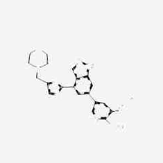 COc1ncc(-c2cc(-c3ncc(CN4C[C@@H](C)O[C@@H](C)C4)o3)c3cn[nH]c3c2)cc1N[S+](C)[O-]